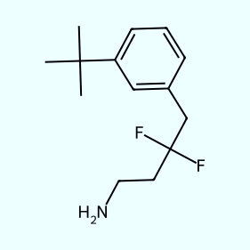 CC(C)(C)c1cccc(CC(F)(F)CCN)c1